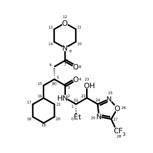 CC[C@H](NC(=O)[C@@H](CC(=O)N1CCOCC1)CC1CCCCC1)C(O)c1noc(C(F)(F)F)n1